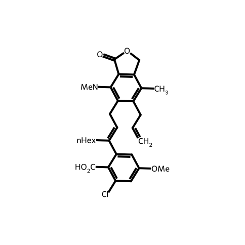 C=CCc1c(C)c2c(c(NC)c1C/C=C(\CCCCCC)c1cc(OC)cc(Cl)c1C(=O)O)C(=O)OC2